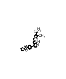 CC(=O)c1cn(Cc2cc3c(-c4ccc(S(=O)(=O)N5CCCC5)cc4)ccnc3[nH]2)nc1C